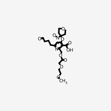 COCCOCC(=O)OCc1nc(CCCC=O)cc(OC2(N=O)CCOCC2)c1C(=O)O